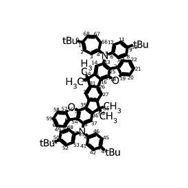 CC(C)(C)C1=CC=C(N(c2ccc(C(C)(C)C)cc2)c2cc3c(c4oc5ccccc5c24)-c2cc4c(cc2C3(C)C)-c2c(cc(N(c3ccc(C(C)(C)C)cc3)c3ccc(C(C)(C)C)cc3)c3c2oc2ccccc23)C4(C)C)CC=C1